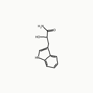 NC(=O)C(O)Cc1c[nH]c2ccccc12